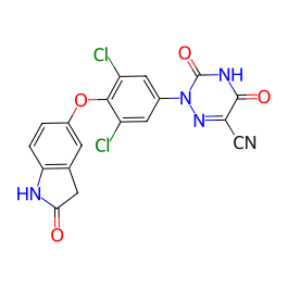 N#Cc1nn(-c2cc(Cl)c(Oc3ccc4c(c3)CC(=O)N4)c(Cl)c2)c(=O)[nH]c1=O